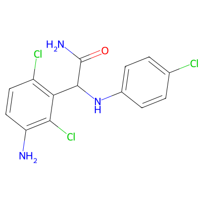 NC(=O)C(Nc1ccc(Cl)cc1)c1c(Cl)ccc(N)c1Cl